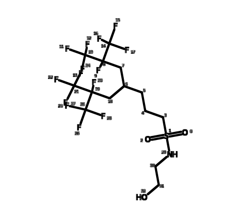 O=S(=O)(CCCC(CC(F)(C(F)(F)F)C(F)(F)F)CC(F)(C(F)(F)F)C(F)(F)F)NCCO